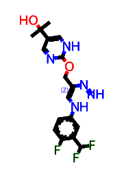 CC(C)(O)C1=CNC(OC/C(=C/Nc2ccc(F)c(C(F)F)c2)N=N)N=C1